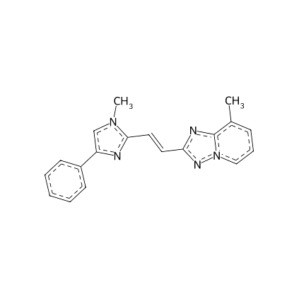 Cc1cccn2nc(C=Cc3nc(-c4ccccc4)cn3C)nc12